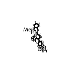 COc1ccccc1CNc1ccc(-c2ccc(S(=O)(=O)C(C)C)nc2)c2nncn12